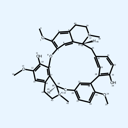 COc1cc2c3cc1Oc1c(O)c(OC)cc4c1[C@@H](Cc1ccc(OC)c(c1)-c1cc(ccc1O)C[C@H]3N(C)CC2)N(C)CC4